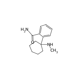 CNC1(c2ccccc2C(N)=O)CCCCC1